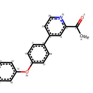 COC(=O)c1cc(-c2ccc(Oc3ccccc3)cc2)ccn1